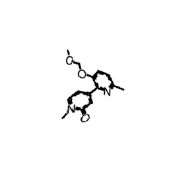 COCOc1ccc(C)nc1-c1ccn(C)c(=O)c1